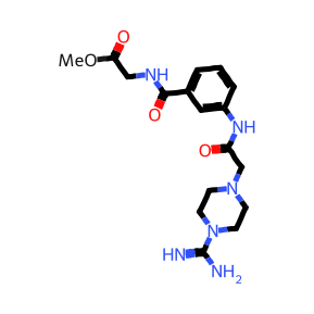 COC(=O)CNC(=O)c1cccc(NC(=O)CN2CCN(C(=N)N)CC2)c1